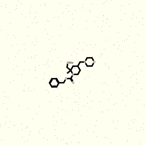 COCC1(C)CC(CN2CCOCC2)CCN1C(=O)OCc1ccccc1